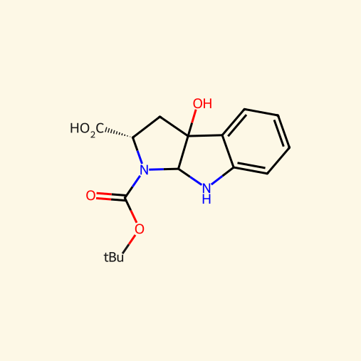 CC(C)(C)OC(=O)N1C2Nc3ccccc3C2(O)C[C@H]1C(=O)O